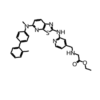 CCOC(=O)CNCc1ccnc(Nc2nc3ccc(N(C)c4ccc(-c5ccccc5C)cc4)nc3s2)c1